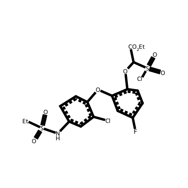 CCOC(=O)C(Oc1ccc(F)cc1Oc1ccc(NS(=O)(=O)CC)cc1Cl)S(=O)(=O)Cl